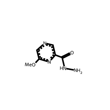 COc1cncc(C(=O)NN)n1